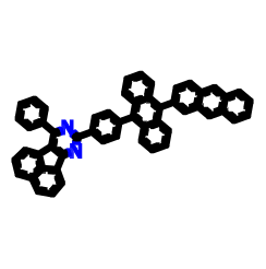 c1ccc(-c2nc(-c3ccc(-c4c5ccccc5c(-c5ccc6cc7ccccc7cc6c5)c5ccccc45)cc3)nc3c2-c2cccc4cccc-3c24)cc1